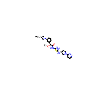 CCO[C@H](C(=O)Nc1nnc(N[C@@H]2CCN(c3cccnn3)C2)s1)c1cccc(N2CC(OC)C2)c1